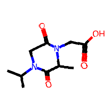 CC(C)N1CC(=O)N(CC(=O)O)C(C)C1=O